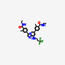 CCNC(=O)c1ccc(-c2cc(NCCC(F)(F)F)c3ncc(-c4ccc(C(=O)NCC)c(C)c4)n3c2)cc1C